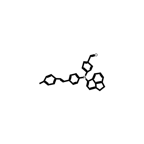 Cc1ccc(C=Cc2ccc(N(c3ccc(C=O)cc3)c3ccc4c5c(cccc35)CC4)cc2)cc1